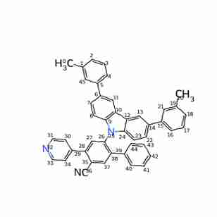 Cc1cccc(-c2ccc3c(c2)c2cc(-c4cccc(C)c4)ccc2n3-c2cc(-c3ccncc3)c(C#N)cc2-c2ccccc2)c1